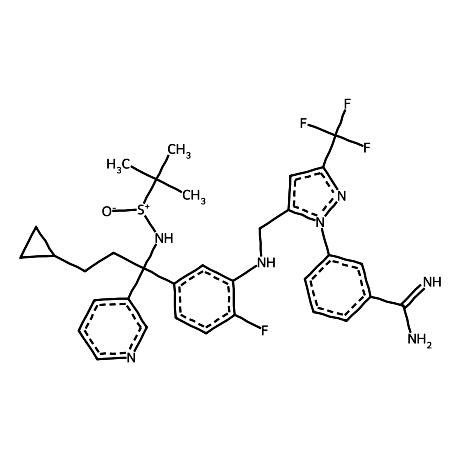 CC(C)(C)[S+]([O-])NC(CCC1CC1)(c1cccnc1)c1ccc(F)c(NCc2cc(C(F)(F)F)nn2-c2cccc(C(=N)N)c2)c1